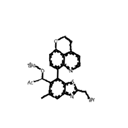 CC(=O)[C@@H](OC(C)(C)C)c1c(C)cc2nc(CC(C)C)sc2c1-c1ccc2c3c(ccnc13)CCO2